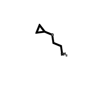 NCCOC1CC1